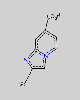 CC(C)c1cn2ccc(C(=O)O)cc2n1